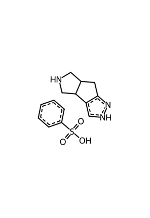 O=S(=O)(O)c1ccccc1.c1[nH]nc2c1C1CNCC1C2